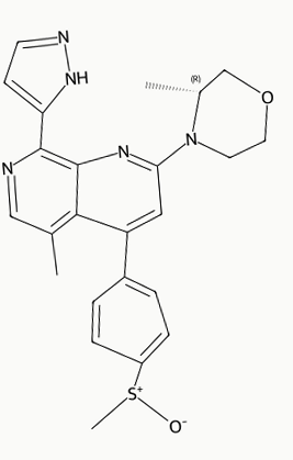 Cc1cnc(-c2ccn[nH]2)c2nc(N3CCOC[C@H]3C)cc(-c3ccc([S+](C)[O-])cc3)c12